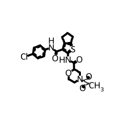 CS(=O)(=O)N1CCOC(C(=O)Nc2sc3c(c2C(=O)Nc2ccc(Cl)cc2)CCC3)C1